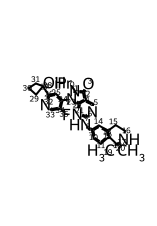 CC(C)n1c(=O)c2cnc(Nc3ccc4c(c3)CCNC4(C)C)nc2n1-c1cc(C2(O)CCC2)ncc1F